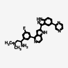 CN(C)CC(N)c1cc(F)cc(-c2nccc3[nH]c(-c4n[nH]c5ccc(-c6cnccn6)cc45)cc23)c1